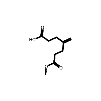 C=C(CCC(=O)O)CCC(=O)OC